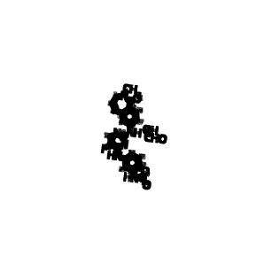 CN1CC=Cc2cc(Nc3ncc(F)c(Nc4ccc5oc(=O)[nH]c5c4)n3)ccc2C1=O.O=CO